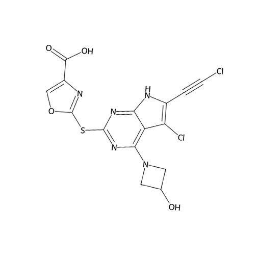 O=C(O)c1coc(Sc2nc(N3CC(O)C3)c3c(Cl)c(C#CCl)[nH]c3n2)n1